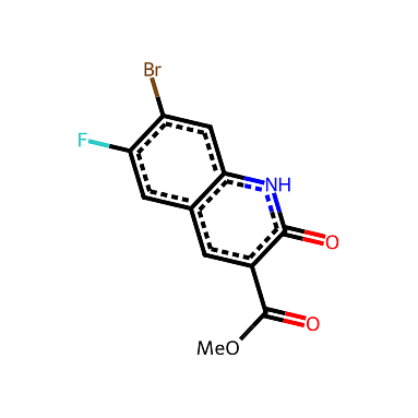 COC(=O)c1cc2cc(F)c(Br)cc2[nH]c1=O